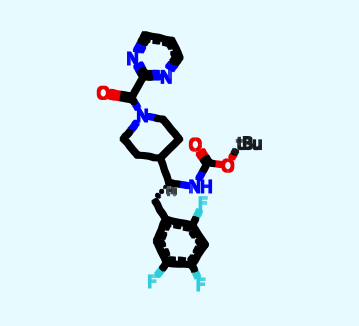 CC(C)(C)OC(=O)N[C@H](Cc1cc(F)c(F)cc1F)C1CCN(C(=O)c2ncccn2)CC1